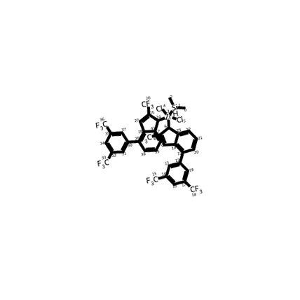 C[SiH](C)[Zr]([Cl])([Cl])([CH]1C(C(F)(F)F)=Cc2c(-c3cc(C(F)(F)F)cc(C(F)(F)F)c3)cccc21)[CH]1C(C(F)(F)F)=Cc2c(-c3cc(C(F)(F)F)cc(C(F)(F)F)c3)cccc21